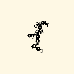 CC1(C)CCC(CN2CCN(c3ccc(C(=O)NS(=O)(=O)c4ccc(N[C@H]5CCN(CC(F)F)C5)c([N+](=O)[O-])c4)c(Oc4cnc5[nH]ccc5c4)c3)CC2)=C(c2ccc(Cl)cc2)C1